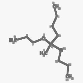 CCCCC(C)(OCCC)OCCC